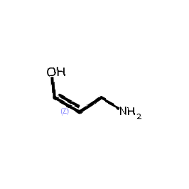 NC/C=C\O